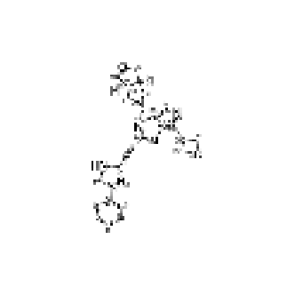 C(#Cc1nc(-c2ccccc2)c[nH]1)c1nc(N2C[C@H]3COC[C@H]3C2)c2cnn(C3COC3)c2n1